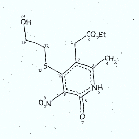 CCOC(=O)Cc1c(C)[nH]c(=O)c([N+](=O)[O-])c1SCCO